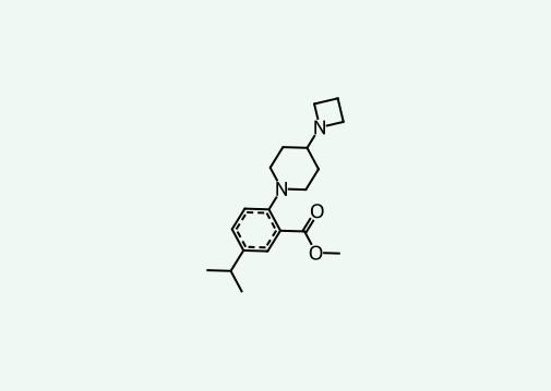 COC(=O)c1cc(C(C)C)ccc1N1CCC(N2CCC2)CC1